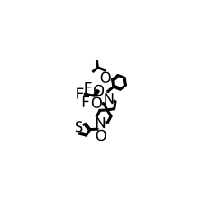 CC(C)COc1ccccc1CN1CCC2(CCN(C(=O)c3ccsc3)CC2)C1OC(=O)C(F)(F)F